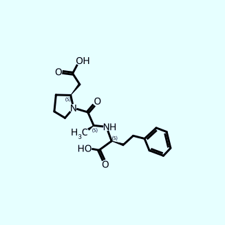 C[C@H](N[C@@H](CCc1ccccc1)C(=O)O)C(=O)N1CCC[C@H]1CC(=O)O